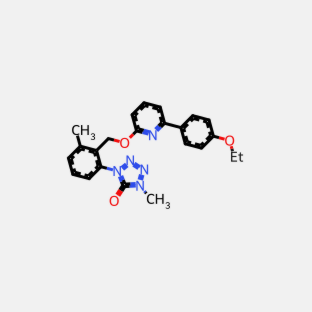 CCOc1ccc(-c2cccc(OCc3c(C)cccc3-n3nnn(C)c3=O)n2)cc1